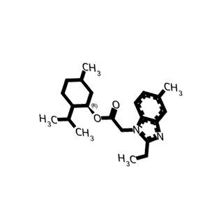 CCc1nc2cc(C)ccc2n1CC(=O)O[C@@H]1CC(C)CCC1C(C)C